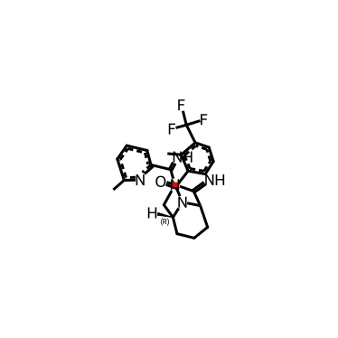 Cc1cccc(C(=N)N2C[C@H]3CCCC(C2=N)N3C(=O)c2cccc(C(F)(F)F)c2C)n1